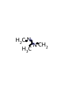 C=C/N=C\C(CC)=N/C=C